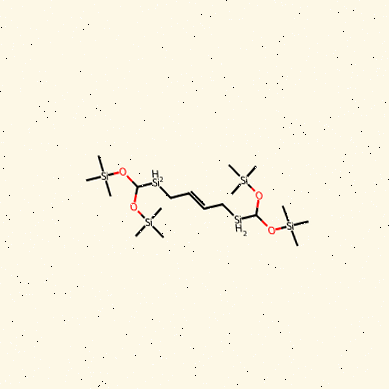 C[Si](C)(C)OC(O[Si](C)(C)C)[SiH2]C/C=C/C[SiH2]C(O[Si](C)(C)C)O[Si](C)(C)C